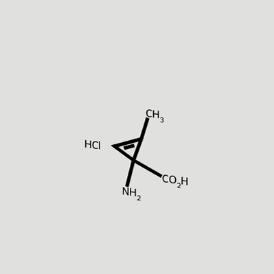 CC1=CC1(N)C(=O)O.Cl